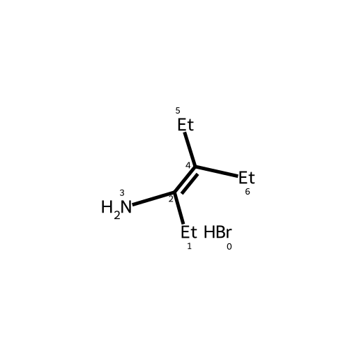 Br.CCC(N)=C(CC)CC